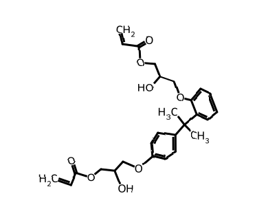 C=CC(=O)OCC(O)COc1ccc(C(C)(C)c2ccccc2OCC(O)COC(=O)C=C)cc1